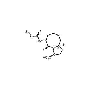 CC(C)(C)OC(=O)N[C@H]1CCNC[C@H]2CC[C@@H](C(=O)O)N2C1=O